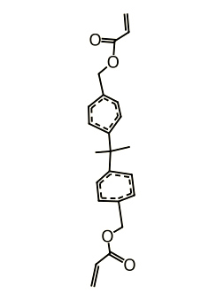 C=CC(=O)OCc1ccc(C(C)(C)c2ccc(COC(=O)C=C)cc2)cc1